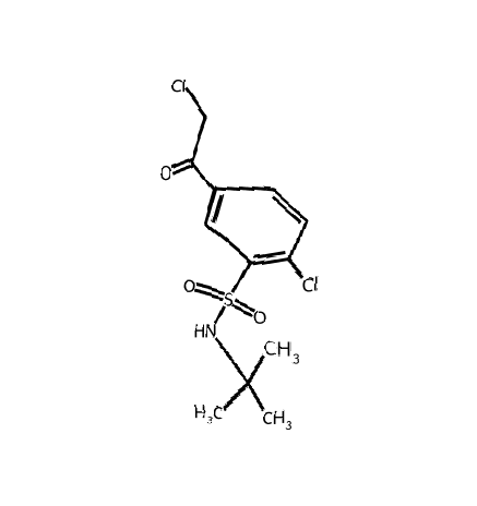 CC(C)(C)NS(=O)(=O)c1cc(C(=O)CCl)ccc1Cl